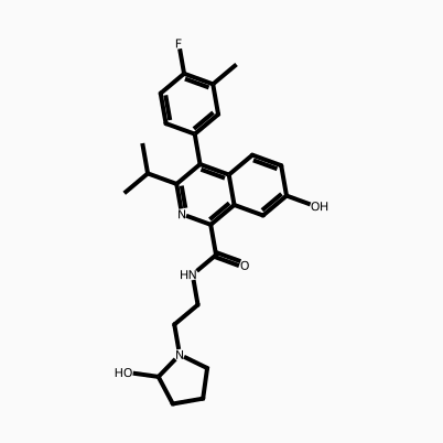 Cc1cc(-c2c(C(C)C)nc(C(=O)NCCN3CCCC3O)c3cc(O)ccc23)ccc1F